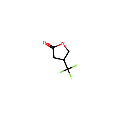 O=C1CC(C(F)(F)F)CO1